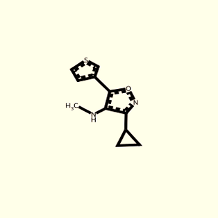 CNc1c(C2CC2)noc1-c1ccsc1